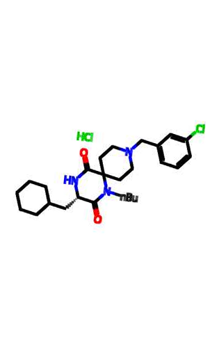 CCCCN1C(=O)[C@H](CC2CCCCC2)NC(=O)C12CCN(Cc1cccc(Cl)c1)CC2.Cl